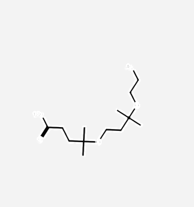 CC(=O)CCOC(C)(C)CCOC(C)(C)CCC(=O)C(C)(C)C